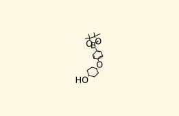 CC1(C)OB(c2ccc(OC3CCC(O)CC3)cc2)OC1(C)C